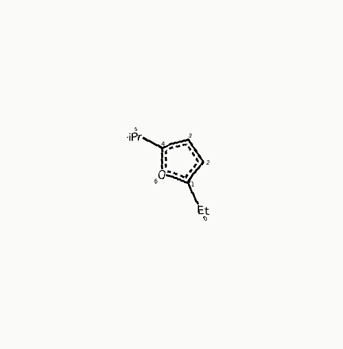 CCc1ccc([C](C)C)o1